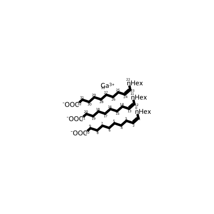 CCCCCC/C=C\CCCCCCCC(=O)[O-].CCCCCC/C=C\CCCCCCCC(=O)[O-].CCCCCC/C=C\CCCCCCCC(=O)[O-].[Ga+3]